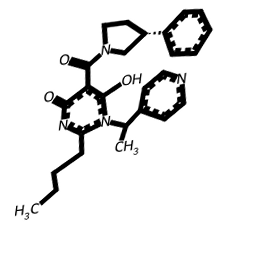 CCCCc1nc(=O)c(C(=O)N2CC[C@H](c3ccccc3)C2)c(O)n1C(C)c1ccncc1